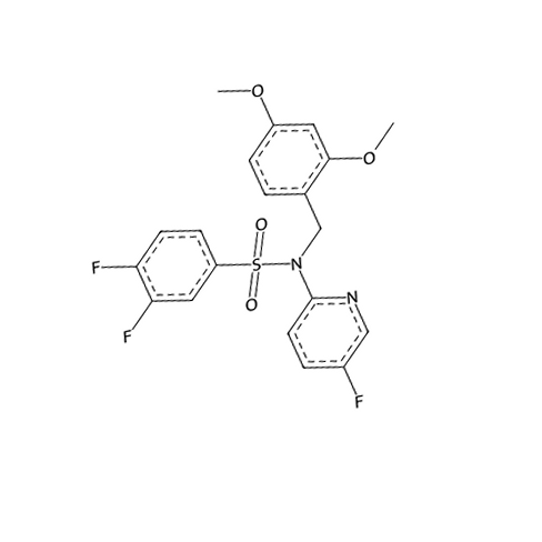 COc1ccc(CN(c2ccc(F)cn2)S(=O)(=O)c2ccc(F)c(F)c2)c(OC)c1